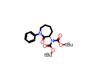 CC(C)(C)OC(=O)N(C(=O)OC(C)(C)C)[C@H]1CCCCN(c2ccccc2)C1=O